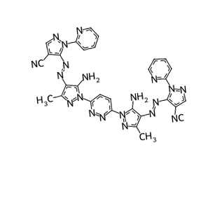 [C-]#[N+]c1cnn(-c2ccccn2)c1N=Nc1c(C)nn(-c2ccc(-n3nc(C)c(N=Nc4c(C#N)cnn4-c4ccccn4)c3N)nn2)c1N